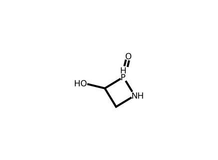 O=[PH]1NCC1O